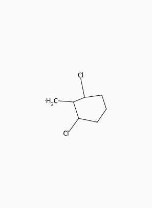 [CH2]C1C(Cl)CCCC1Cl